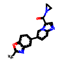 Cc1nc2cc(-c3ccc4ncc(C(=O)N5CC5)n4c3)ccc2o1